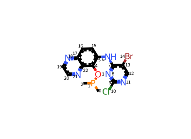 CP(C)Oc1c(Nc2nc(Cl)ncc2Br)ccc2nccnc12